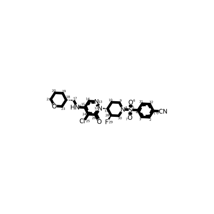 N#Cc1ccc(S(=O)(=O)N2CC[C@@H](n3ncc(NC[C@H]4CCCOC4)c(Cl)c3=O)[C@H](F)C2)cc1